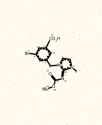 Cn1ccn(Cc2cc(Br)cc(C(=O)O)c2)/c1=N\C(=O)OC(C)(C)C